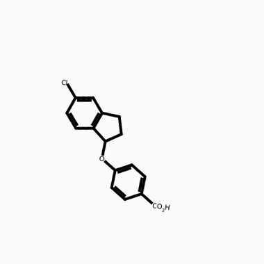 O=C(O)c1ccc(OC2CCc3cc(Cl)ccc32)cc1